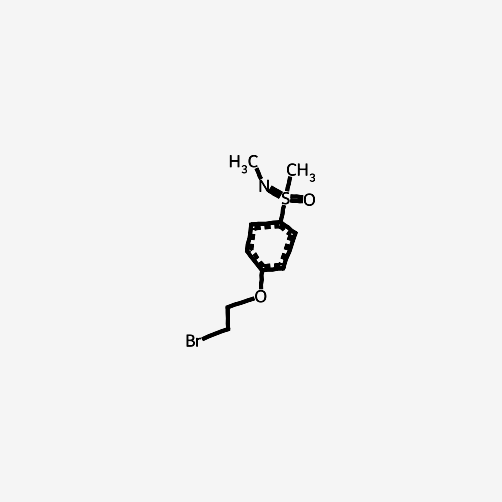 CN=S(C)(=O)c1ccc(OCCBr)cc1